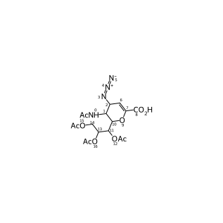 CC(=O)NC1C(N=[N+]=[N-])C=C(C(=O)O)OC1C(OC(C)=O)C(COC(C)=O)OC(C)=O